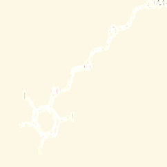 COCCOCCOCCOc1c(I)cc(I)c(C)c1I